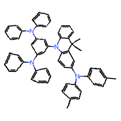 Cc1ccc(N(c2ccc(C)cc2)c2ccc3c(c2)C(C)(C)c2ccccc2N3c2cc(N(c3ccccc3)c3ccccc3)cc(N(c3ccccc3)c3ccccc3)c2)cc1